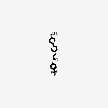 CC[C@H]1CC[C@H]([C@H]2CC[C@H](CCC(=O)Oc3ccc(C(F)(F)F)cc3)CC2)CC1